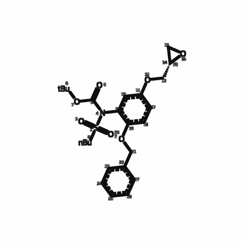 CCCCS(=O)(=O)N(C(=O)OC(C)(C)C)c1cc(OC[C@@H]2CO2)ccc1OCc1ccccc1